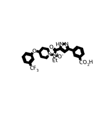 CC[N+]([O-])(C(=O)c1cc(-c2cccc(C(=O)O)c2)n[nH]1)N1CCC(Oc2cccc(C(F)(F)F)c2)CC1